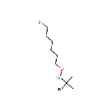 CC(C)C(C)(C)[SiH2]OCCCCCCBr